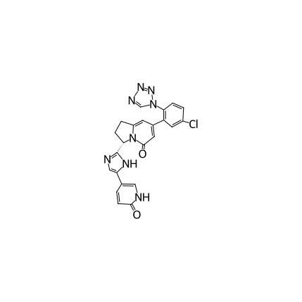 O=c1ccc(-c2cnc([C@@H]3CCc4cc(-c5cc(Cl)ccc5-n5cnnn5)cc(=O)n43)[nH]2)c[nH]1